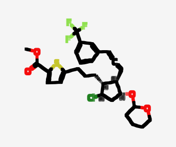 COC(=O)c1ccc(CCC[C@@H]2[C@@H](C=C=Cc3cccc(C(F)(F)F)c3)[C@H](OC3CCCCO3)C[C@H]2Cl)s1